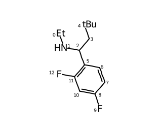 CCNC(CC(C)(C)C)c1ccc(F)cc1F